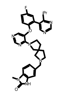 CC(C)c1ncncc1-c1cc(F)ccc1Oc1cncnc1N1CCC2(CCN(Cc3ccc4c(c3)[nH]c(=O)n4C)C2)C1